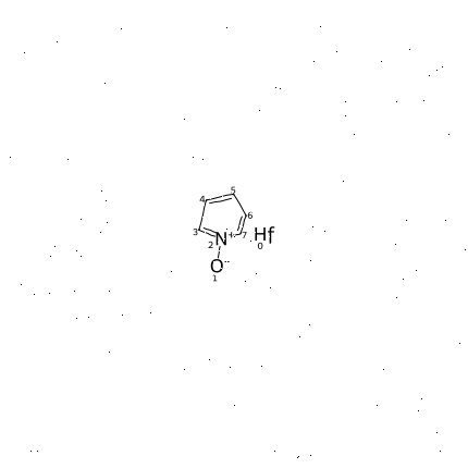 [Hf].[O-][n+]1ccccc1